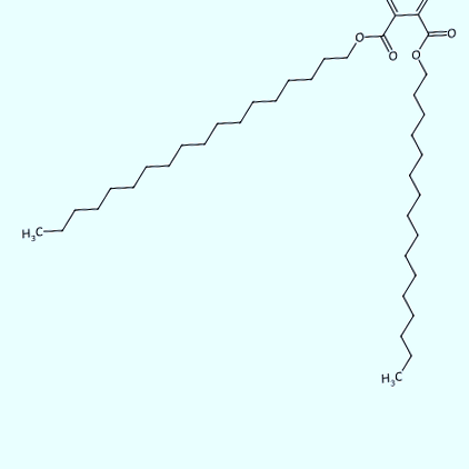 CCCCCCCCCCCCCCCCCCOC(=O)c1ccccc1C(=O)OCCCCCCCCCCCCCCCC.[NaH]